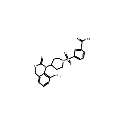 Cc1cccc2c1N(C1CCN(S(=O)(=O)c3cccc(C(=O)O)c3)CC1)C(=O)OC2